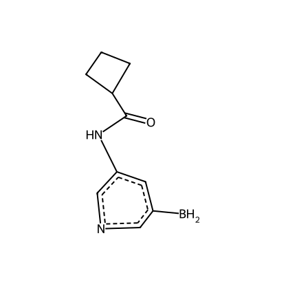 Bc1cncc(NC(=O)C2CCC2)c1